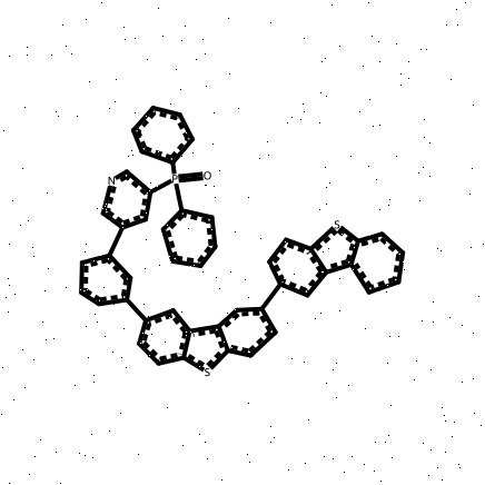 O=P(c1ccccc1)(c1ccccc1)c1cncc(-c2cccc(-c3ccc4sc5ccc(-c6ccc7sc8ccccc8c7c6)cc5c4c3)c2)c1